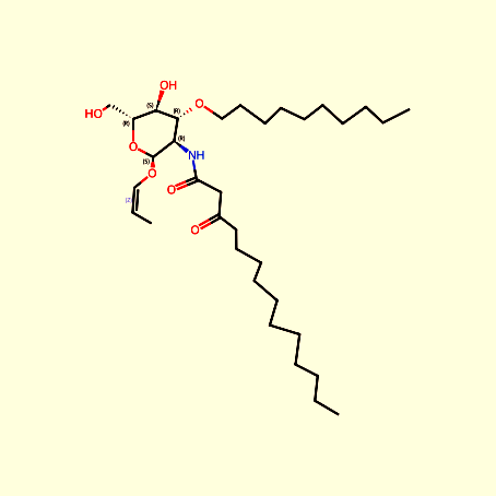 C/C=C\O[C@H]1O[C@H](CO)[C@@H](O)[C@H](OCCCCCCCCCC)[C@H]1NC(=O)CC(=O)CCCCCCCCCCC